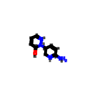 NC1=NCC(n2ncccc2=O)C=C1